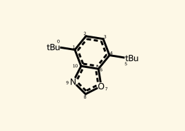 CC(C)(C)c1ccc(C(C)(C)C)c2ocnc12